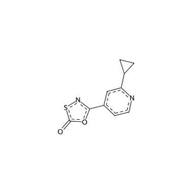 O=c1oc(-c2ccnc(C3CC3)c2)ns1